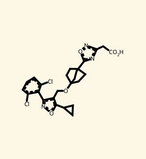 O=C(O)Cc1noc(C23CCC(OCc4c(-c5c(Cl)cccc5Cl)noc4C4CC4)(CC2)CC3)n1